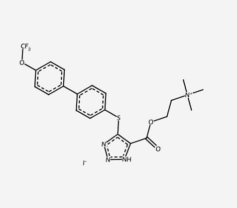 C[N+](C)(C)CCOC(=O)c1[nH]nnc1Sc1ccc(-c2ccc(OC(F)(F)F)cc2)cc1.[I-]